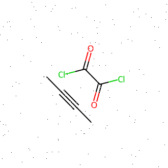 O=C(Cl)C(=O)Cl.[CH2]C#CC